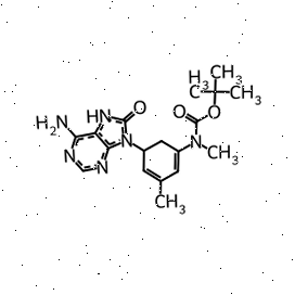 CC1=CC(n2c(=O)[nH]c3c(N)ncnc32)CC(N(C)C(=O)OC(C)(C)C)=C1